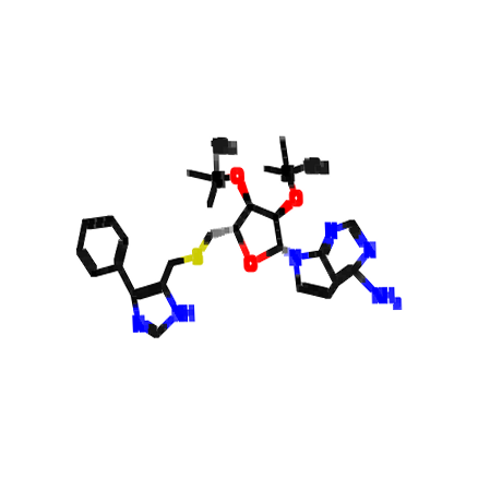 CC(C)(C)[Si](C)(C)O[C@@H]1[C@H](O[Si](C)(C)C(C)(C)C)[C@@H](CSCc2[nH]cnc2-c2ccccc2)O[C@H]1n1ccc2c(N)ncnc21